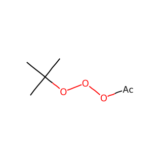 CC(=O)OOOC(C)(C)C